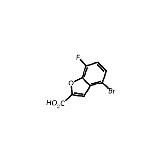 O=C(O)c1cc2c(Br)ccc(F)c2o1